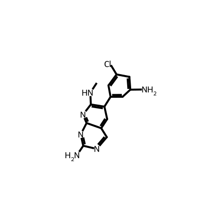 CNc1nc2nc(N)ncc2cc1-c1cc(N)cc(Cl)c1